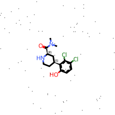 CN(C)C(=O)[C@H]1C[C@@H](c2c(O)ccc(Cl)c2Cl)CCN1